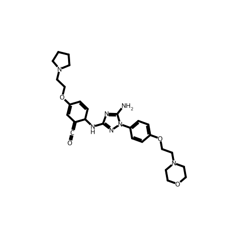 Nc1nc(NC2C=CC(OCCN3CCCC3)=CC2=C=O)nn1-c1ccc(OCCN2CCOCC2)cc1